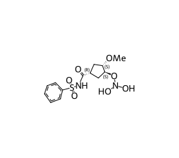 CO[C@H]1C[C@@H](C(=O)NS(=O)(=O)c2ccccc2)C[C@@H]1ON(O)O